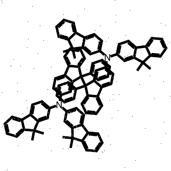 CC1(C)c2ccccc2-c2ccc(N(c3ccc4c(c3)C(C)(C)c3ccccc3-4)c3ccc4c(c3)C(c3ccccc3)(C3(c5ccccc5)c5ccccc5-c5ccc(N(c6ccc7c(c6)C(C)(C)c6ccccc6-7)c6ccc7c(c6)C(C)(C)c6ccccc6-7)cc53)c3ccccc3-4)cc21